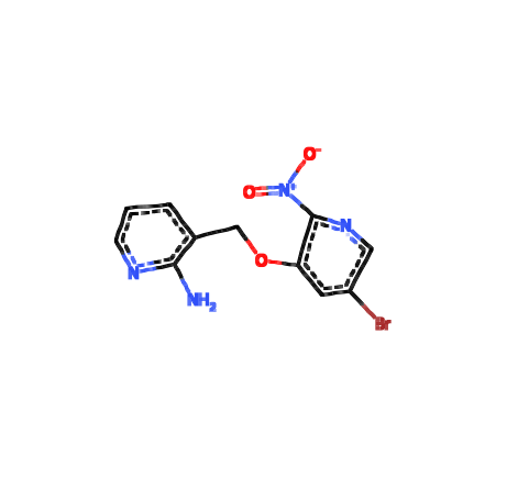 Nc1ncccc1COc1cc(Br)cnc1[N+](=O)[O-]